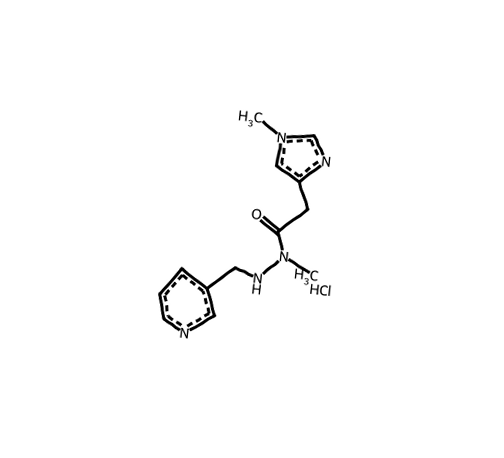 CN(NCc1cccnc1)C(=O)Cc1cn(C)cn1.Cl